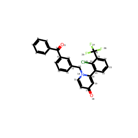 O=C(c1ccccc1)c1cccc(Cn2ccc(=O)cc2-c2cccc(C(F)(F)F)c2Cl)c1